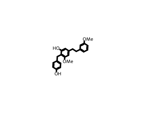 COc1cccc(CCc2cc(O)c(Cc3ccc(O)cc3)c(OC)c2)c1